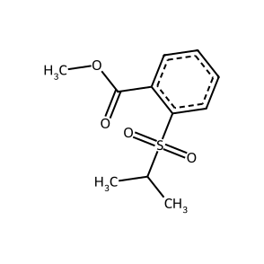 COC(=O)c1ccccc1S(=O)(=O)C(C)C